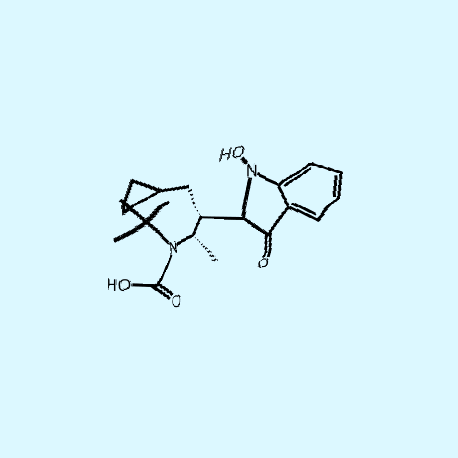 C[C@@H]([C@H](CC1CC1)C1C(=O)c2ccccc2N1O)N(C(=O)O)C(C)(C)C